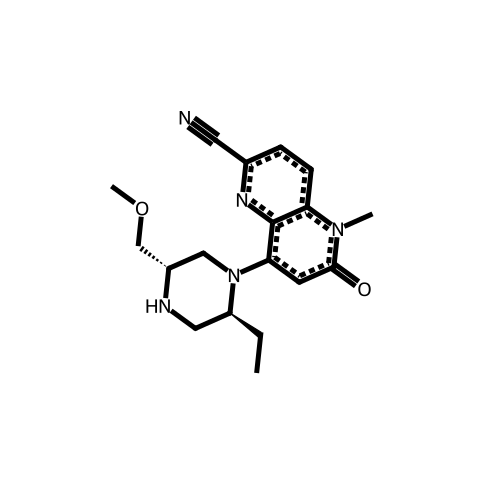 CC[C@H]1CN[C@H](COC)CN1c1cc(=O)n(C)c2ccc(C#N)nc12